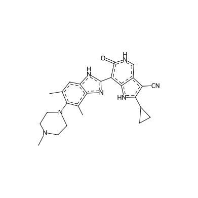 Cc1cc2[nH]c(-c3c(=O)[nH]cc4c(C#N)c(C5CC5)[nH]c34)nc2c(C)c1N1CCN(C)CC1